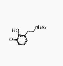 CCCCCCCCc1cccc(=O)n1O